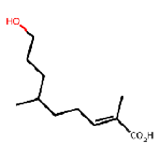 CC(=CCCC(C)CCCO)C(=O)O